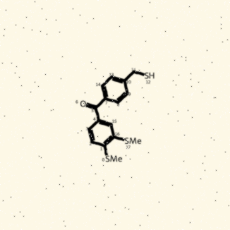 CSc1ccc(C(=O)c2ccc(CS)cc2)cc1SC